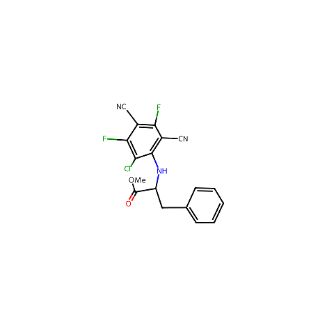 COC(=O)C(Cc1ccccc1)Nc1c(Cl)c(F)c(C#N)c(F)c1C#N